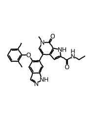 CCNC(=O)c1cc2c(-c3cc4[nH]ncc4cc3Oc3c(C)cccc3C)cn(C)c(=O)c2[nH]1